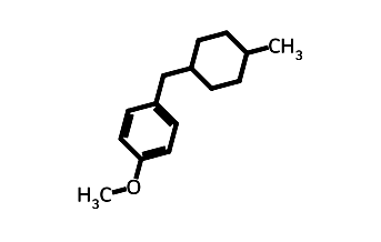 COc1ccc(CC2CCC(C)CC2)cc1